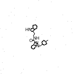 Cc1ccc(Cn2nc(C(=O)NCCc3c[nH]c4ccccc34)c3ccccc32)cc1